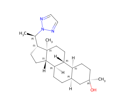 C[C@H]([C@H]1CC[C@H]2[C@@H]3CC[C@@H]4C[C@](C)(O)CC[C@@H]4[C@H]3CC[C@]12C)n1nccn1